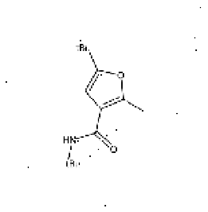 Cc1oc(C(C)(C)C)cc1C(=O)NC(C)(C)C